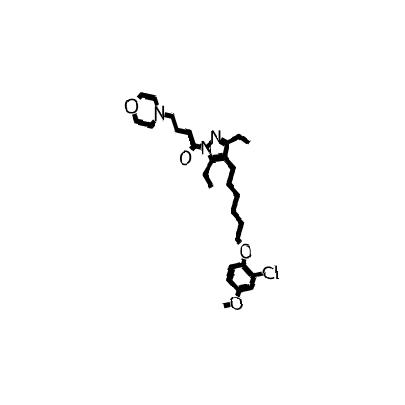 CCc1nn(C(=O)CCCN2CCOCC2)c(CC)c1CCCCCCOc1ccc(OC)cc1Cl